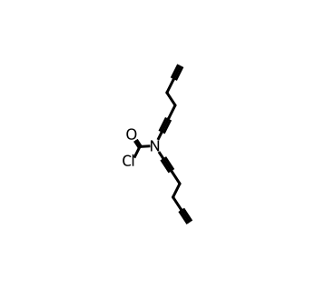 C#CCCC#CN(C#CCCC#C)C(=O)Cl